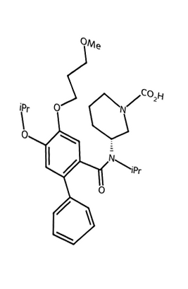 COCCCOc1cc(C(=O)N(C(C)C)[C@@H]2CCCN(C(=O)O)C2)c(-c2ccccc2)cc1OC(C)C